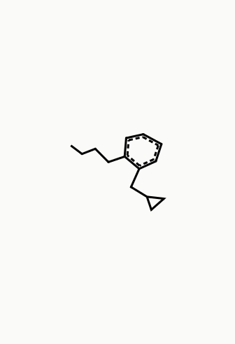 CCCCc1ccccc1CC1CC1